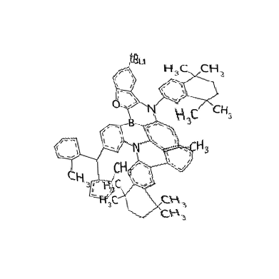 Cc1cc2c3c(c1)N(c1ccc4c(c1)C(C)(C)CCC4(C)C)c1c(oc4ccc(C(C)(C)C)cc14)B3c1ccc(C(c3ccccc3C)c3ccccc3C)cc1N2c1cc2c(cc1-c1ccccc1)C(C)(C)CCC2(C)C